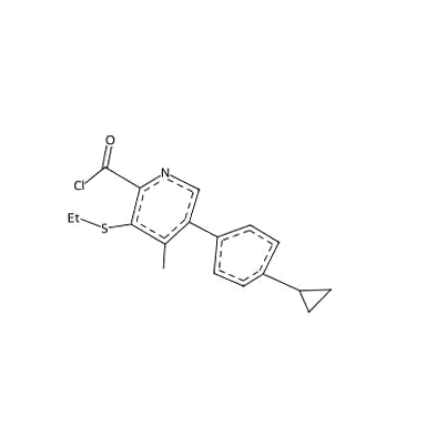 CCSc1c(C(=O)Cl)ncc(-c2ccc(C3CC3)cc2)c1C